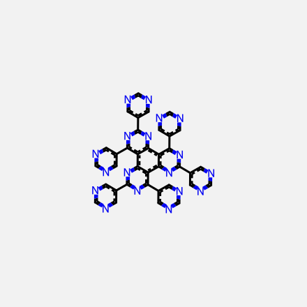 c1ncc(-c2nc(-c3cncnc3)c3c(n2)c2c(-c4cncnc4)nc(-c4cncnc4)nc2c2c(-c4cncnc4)nc(-c4cncnc4)nc32)cn1